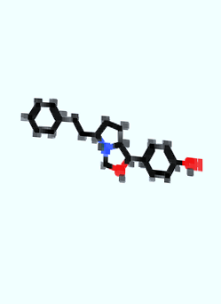 Oc1ccc(C2OCN3C(CCc4ccccc4)CCC23)cc1